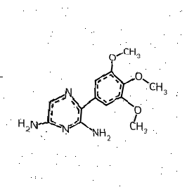 COc1cc(-c2ncc(N)nc2N)cc(OC)c1OC